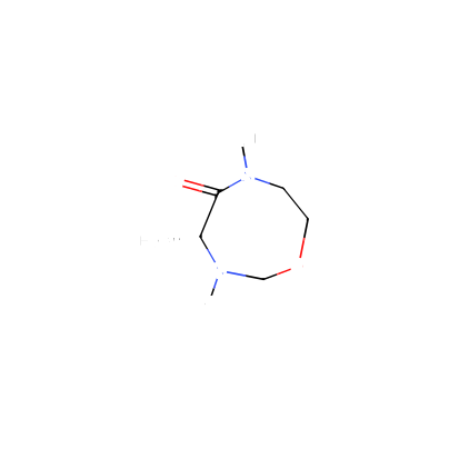 C[C@@H]1C(=O)N(C)CCOCN1C